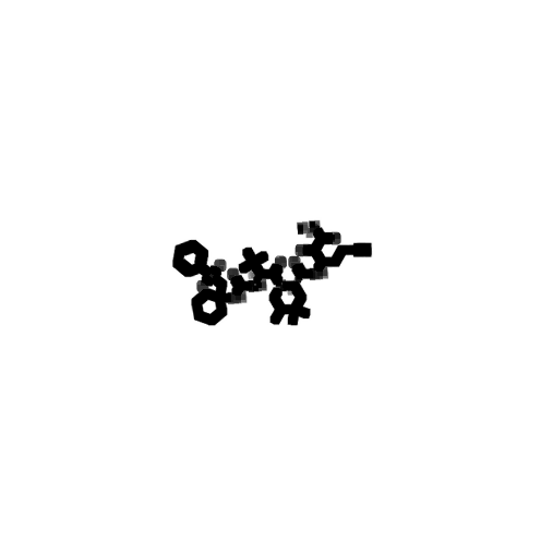 C#CCCC(NC(=O)[C@@H]1CC(C)(C)C(C)CN1C(=O)[C@@H](NC(=O)NC1(CS(=O)(=O)c2ccccc2)CCCCC1)C(C)(C)C)C(=O)C(N)=O